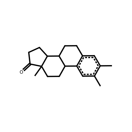 Cc1cc2c(cc1C)C1CCC3(C)C(=O)CCC3C1CC2